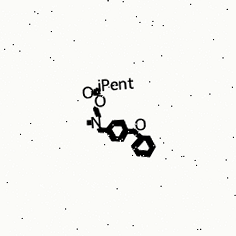 CCCC(C)C(=O)OCCN(C)Cc1ccc(C(=O)c2ccccc2)cc1